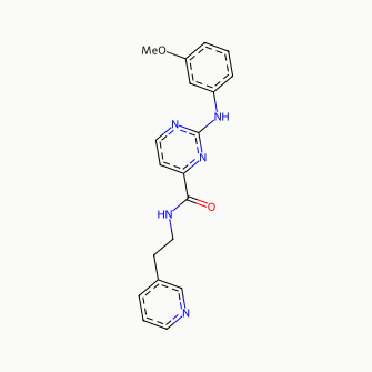 COc1cccc(Nc2nccc(C(=O)NCCc3cccnc3)n2)c1